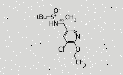 C[C@@H](N[S+]([O-])C(C)(C)C)c1cnc(OCC(F)(F)F)c(Cl)c1